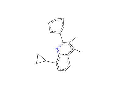 [CH2]c1c(C)c(-c2ccccc2)nc2c(C3CC3)cccc12